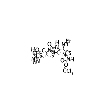 CCON=C(C(=O)N[C@@H]1C(=O)N2C(C(=O)O)=C(CSc3nnnn3C)CS[C@@H]12)c1csc(NC(=O)OCC(Cl)(Cl)Cl)n1